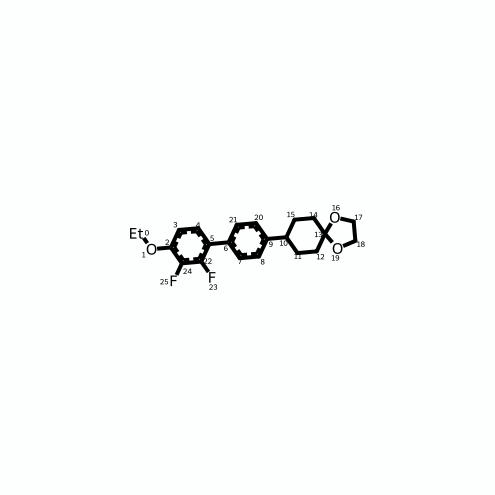 CCOc1ccc(-c2ccc(C3CCC4(CC3)OCCO4)cc2)c(F)c1F